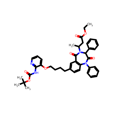 CCOC(=O)CC(C)N1C(=O)c2cc(CCCCOc3cccnc3NC(=O)OC(C)(C)C)ccc2N(c2ccccc2)C(=O)C1c1ccccc1